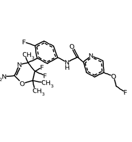 CC1(C)OC(N)=NC(C)(c2cc(NC(=O)c3ccc(OCF)cn3)ccc2F)C1(F)F